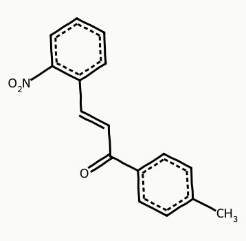 Cc1ccc(C(=O)/C=C/c2ccccc2[N+](=O)[O-])cc1